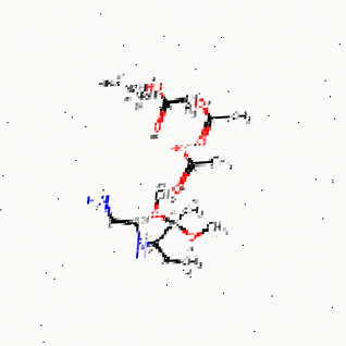 CC(=O)O.CC(=O)O.CC(=O)O.CCC(NCCN)[Si](C)(OC)OC.[NaH].[NaH].[NaH]